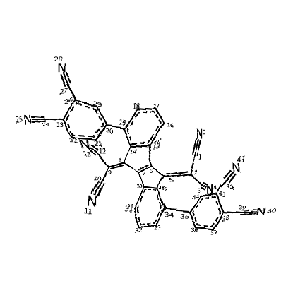 N#CC(C#N)=C1C2=C(C(=C(C#N)C#N)c3c2cccc3-c2ccc(C#N)c(C#N)c2)c2cccc(-c3ccc(C#N)c(C#N)c3)c21